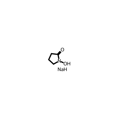 O=C1CCCN1O.[NaH]